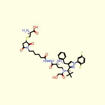 CC(C)(C)[C@H](c1nn(-c2cc(F)ccc2F)cc1Cc1ccccc1)N(CC[C@H](N)C(=O)NNC(=O)CCCCCN1C(=O)CC(SC[C@H](N)C(=O)O)C1=O)C(=O)CO